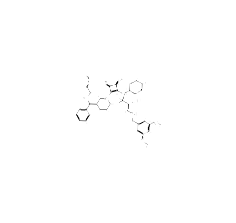 COCCOC(c1ccccc1)C1CCCN(c2c(N(C3CCCCC3)C(C)[C@H](O)CNCc3cc(OC)cc(OC)c3)c(=O)c2=O)C1